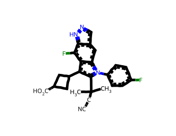 CC(C)(CC#N)c1c(C2CC(C(=O)O)C2)c2c(F)c3[nH]ncc3cc2n1-c1ccc(F)cc1